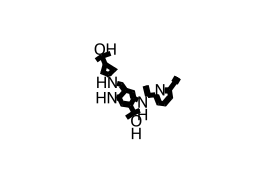 C#Cc1cccc(C(=C)NC2=C/C(=C/NC3CC(C(C)(C)O)C3)C(=N)C=C2C(C)(C)O)n1